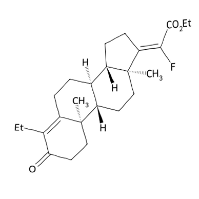 CCOC(=O)C(F)=C1CC[C@H]2[C@@H]3CCC4=C(CC)C(=O)CC[C@]4(C)[C@H]3CC[C@]12C